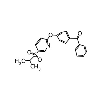 CC(C)S(=O)(=O)c1ccc(Oc2ccc(C(=O)c3ccccc3)cc2)nc1